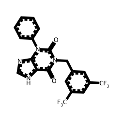 O=c1c2[nH]cnc2n(-c2ccccc2)c(=O)n1Cc1cc(C(F)(F)F)cc(C(F)(F)F)c1